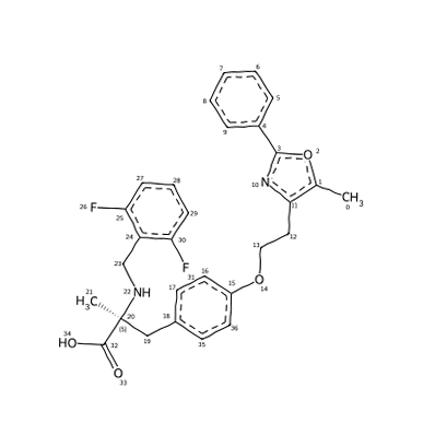 Cc1oc(-c2ccccc2)nc1CCOc1ccc(C[C@](C)(NCc2c(F)cccc2F)C(=O)O)cc1